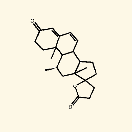 C[C@@H]1CC2(C)C(CCC23CCC(=O)O3)C2C=CC3=CC(=O)CCC3(C)C21